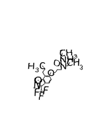 CCCc1c(OCCCN(CC)C(=O)NCC)ccc2c(C(F)(F)F)noc12